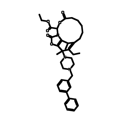 CCOC(=O)C1OC(=O)CCCCCC2=C(CC)C(C)(N3CCN(Cc4cccc(-c5ccccc5)c4)CC3)c3oc(=O)n1c3C2C